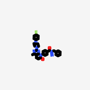 Cc1nc(N2CC3CC2CN3c2ccc(F)cc2)nc2c1ccc(=O)n2-c1ccc(C(=O)NCc2ccccc2)cc1